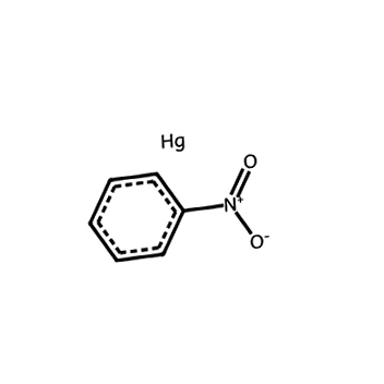 O=[N+]([O-])c1ccccc1.[Hg]